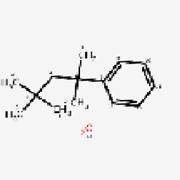 CC(C)(C)CC(C)(C)c1ccccc1.O